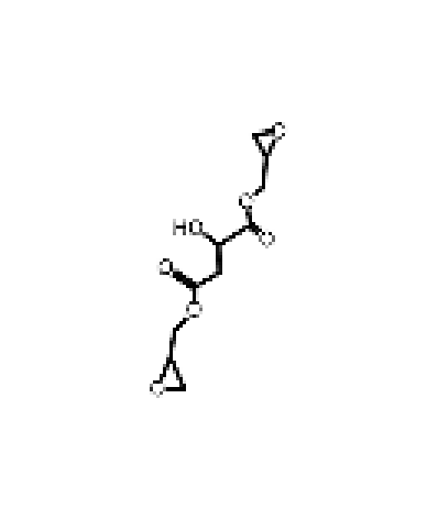 O=C(CC(O)C(=O)OCC1CO1)OCC1CO1